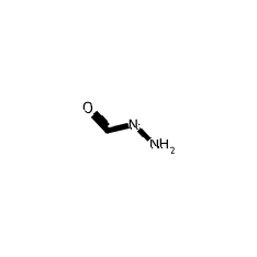 N[N]C=O